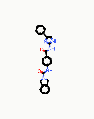 O=C(Nc1nc(-c2ccccc2)c[nH]1)c1ccc(NC(=O)N2Cc3ccccc3C2)cc1